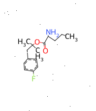 CCCC(N)C(=O)OC(C)(C)Cc1ccc(F)cc1